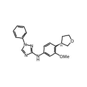 COc1cc(Nc2ncn(-c3ccccc3)n2)ccc1[C@H]1CCOC1